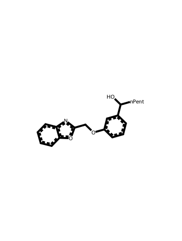 CCCCCC(O)c1cccc(OCc2nc3ccccc3o2)c1